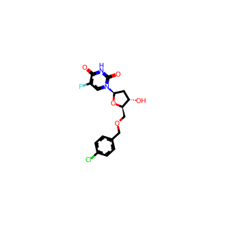 O=c1[nH]c(=O)n([C@H]2C[C@H](O)[C@@H](COCc3ccc(Cl)cc3)O2)cc1F